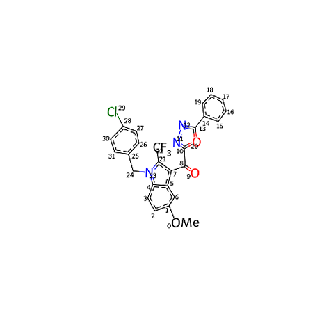 COc1ccc2c(c1)c(C(=O)c1nnc(-c3ccccc3)o1)c(C(F)(F)F)n2Cc1ccc(Cl)cc1